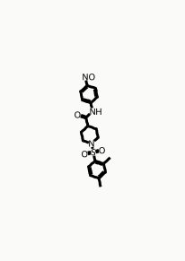 Cc1ccc(S(=O)(=O)N2CCC(C(=O)Nc3ccc(N=O)cc3)CC2)c(C)c1